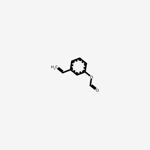 C=Cc1cccc(OC=O)c1